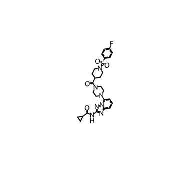 O=C(Nc1nc2cccc(N3CCN(C(=O)C4CCN(S(=O)(=O)c5ccc(F)cc5)CC4)CC3)n2n1)C1CC1